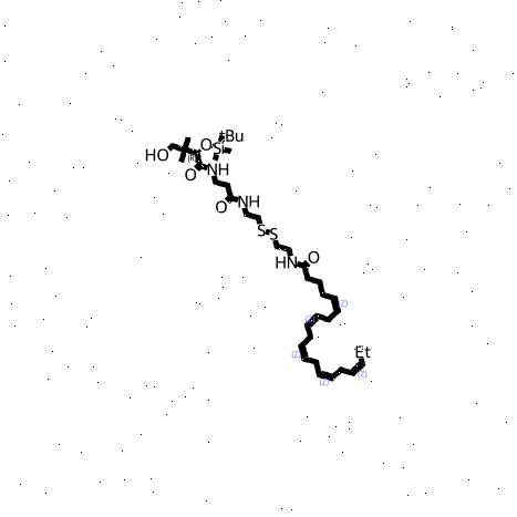 CC/C=C\C/C=C\C/C=C\C/C=C\C/C=C\CCCC(=O)NCCSSCCNC(=O)CCNC(=O)[C@H](O[Si](C)(C)C(C)(C)C)C(C)(C)CO